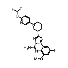 COc1cc(F)cc2c1nc(N)n1nc([C@@H]3CCCN(c4ccc(OC(F)F)nc4)C3)nc21